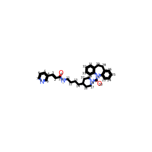 O=C(C=Cc1cccnc1)[N]CCCCC1CCN(C(=O)N2c3ccccc3CCc3ccccc32)CC1